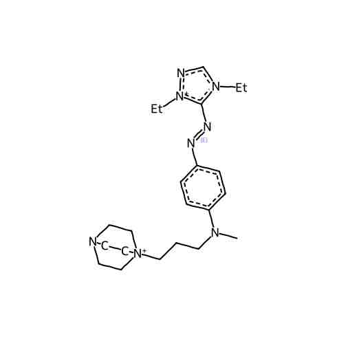 CCn1cn[n+](CC)c1/N=N/c1ccc(N(C)CCC[N+]23CCN(CC2)CC3)cc1